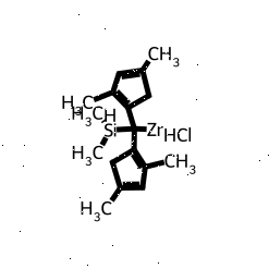 CC1=CC(C)=C([C]([Zr])(C2=C(C)C=C(C)C2)[SiH](C)C)C1.Cl